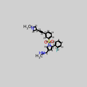 CNCc1cc(-c2ccccc2F)n(S(=O)(=O)c2cccc(C#CC3CN(C)C3)c2)c1